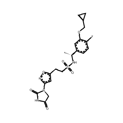 C[C@@H](NS(=O)(=O)CCc1cc(N2CC(=O)NC2=O)no1)c1ccc(F)c(OCC2CC2)c1